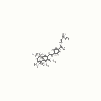 CCN(CC)CCOC(=O)c1ccc(C=Cc2cc3c(cc2C)C(C)(C)CCC3(C)C)cc1